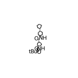 CC(C)(C)S(=O)(=O)Nc1ccc(C(=O)Nc2ccc(-c3ccccc3)cc2)cc1